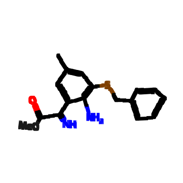 COC(=O)C(=N)c1cc(C)cc(SCc2ccccc2)c1N